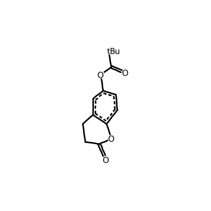 CC(C)(C)C(=O)Oc1ccc2c(c1)CCC(=O)O2